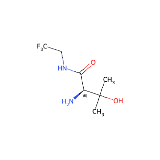 CC(C)(O)[C@@H](N)C(=O)NCC(F)(F)F